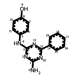 Nc1nc(Nc2ccc(O)cc2)nc(-c2ccccc2)n1